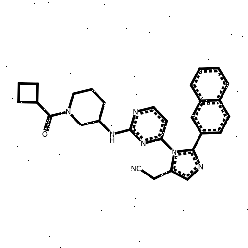 N#CCc1cnc(-c2ccc3ccccc3c2)n1-c1ccnc(NC2CCCN(C(=O)C3CCC3)C2)n1